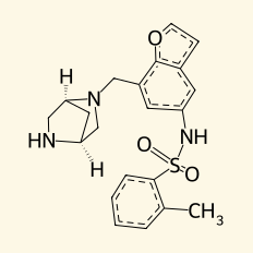 Cc1ccccc1S(=O)(=O)Nc1cc(CN2C[C@@H]3C[C@H]2CN3)c2occc2c1